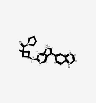 CC1(C(=O)N2CCCC2)CC(Nc2ncc3c(-c4ccc5nccnc5c4)c[nH]c3n2)C1